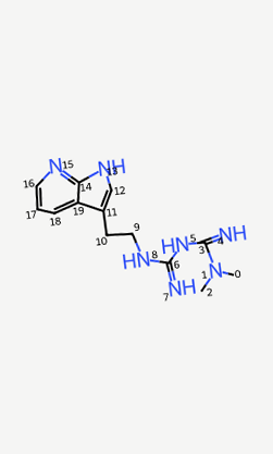 CN(C)C(=N)NC(=N)NCCc1c[nH]c2ncccc12